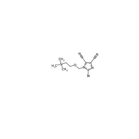 C[Si](C)(C)CCOCn1c(Br)nc(C#N)c1C#N